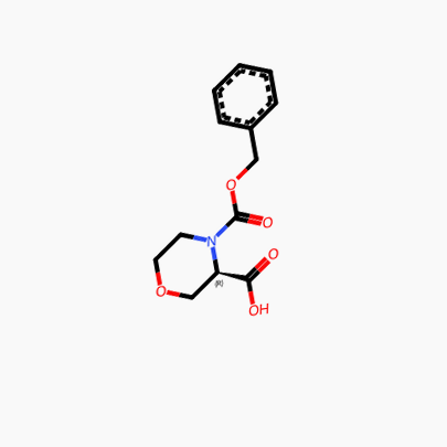 O=C(O)[C@H]1COCCN1C(=O)OCc1ccccc1